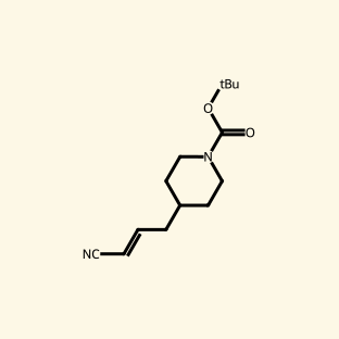 CC(C)(C)OC(=O)N1CCC(CC=CC#N)CC1